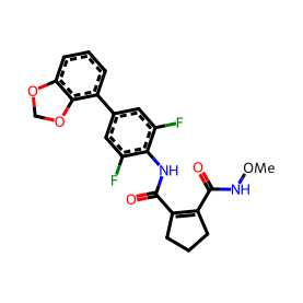 CONC(=O)C1=C(C(=O)Nc2c(F)cc(-c3cccc4c3OCO4)cc2F)CCC1